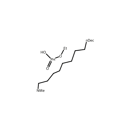 CCCCCCCCCCCCCCCCCCNC.CCO[PH](=O)O